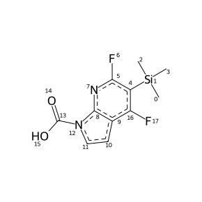 C[Si](C)(C)c1c(F)nc2c(ccn2C(=O)O)c1F